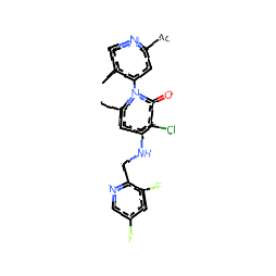 CC(=O)c1cc(-n2c(C)cc(NCc3ncc(F)cc3F)c(Cl)c2=O)c(C)cn1